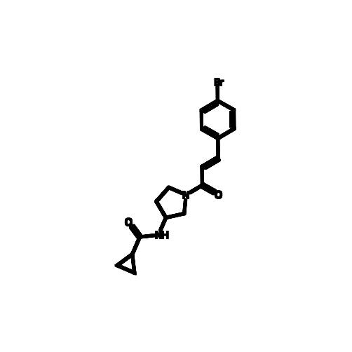 O=C(NC1CCN(C(=O)/C=C/c2ccc(Br)cc2)C1)C1CC1